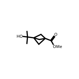 COC(=O)C12CC(C(C)(C)O)(C1)C2